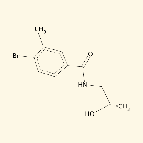 Cc1cc(C(=O)NC[C@H](C)O)ccc1Br